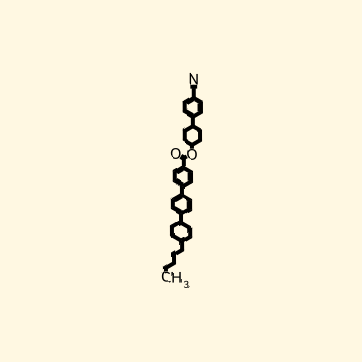 CCCCCC1CCC(c2ccc(-c3ccc(C(=O)OC4CCC(c5ccc(C#N)cc5)CC4)cc3)cc2)CC1